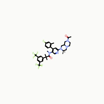 CC(=O)N1CCN2C[C@@H](C)N(c3cc(-c4ccc(F)cc4C)c(N(C)C(=O)C(C)(C)c4cc(C(F)(F)F)cc(C(F)(F)F)c4)cn3)CC2C1